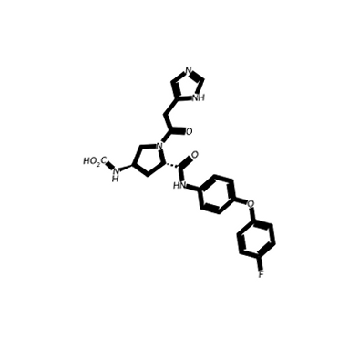 O=C(O)N[C@@H]1C[C@@H](C(=O)Nc2ccc(Oc3ccc(F)cc3)cc2)N(C(=O)Cc2cnc[nH]2)C1